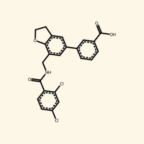 O=C(O)c1cccc(-c2cc3c(c(CNC(=O)c4ccc(Cl)cc4Cl)c2)OCC3)c1